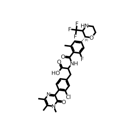 Cc1cc([C@H]2OCCNC2C(F)(F)F)cc(F)c1C(=O)NC(Cc1ccc(-c2nc(C)c(C)n(C)c2=O)c(Cl)c1)C(=O)O